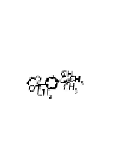 CC1(c2cc[c]([Ge]([CH3])([CH3])[CH3])cc2)OCCO1